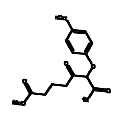 C[CH]C(=O)C(Oc1ccc(CCCCCCCC)cc1)C(=O)CCCC(=O)OC